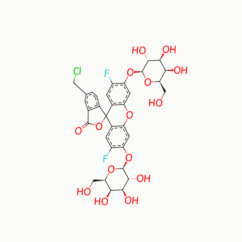 O=C1OC2(c3cc(F)c(O[C@@H]4O[C@H](CO)[C@H](O)[C@H](O)[C@H]4O)cc3Oc3cc(O[C@@H]4O[C@H](CO)[C@H](O)[C@H](O)[C@H]4O)c(F)cc32)c2ccc(CCl)cc21